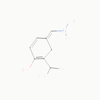 CC(C)C1=C(O)C=CC(=CN(C)C)C1